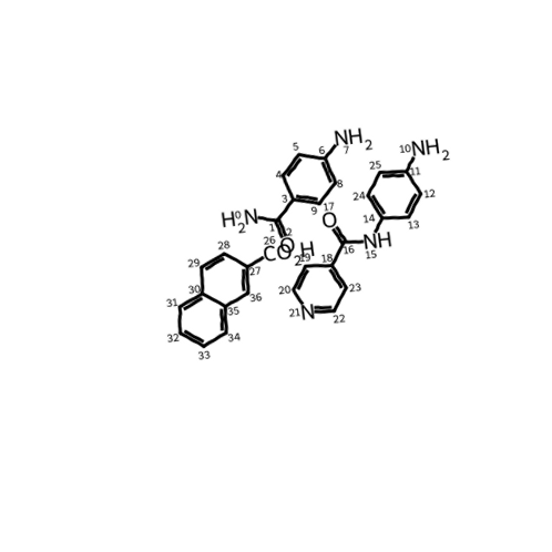 NC(=O)c1ccc(N)cc1.Nc1ccc(NC(=O)c2ccncc2)cc1.O=C(O)c1ccc2ccccc2c1